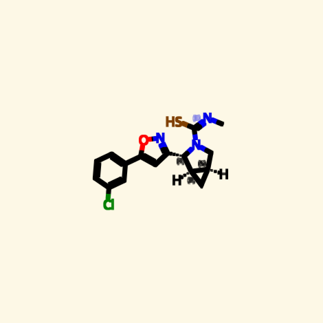 C/N=C(/S)N1C[C@H]2C[C@H]2[C@@H]1c1cc(-c2cccc(Cl)c2)on1